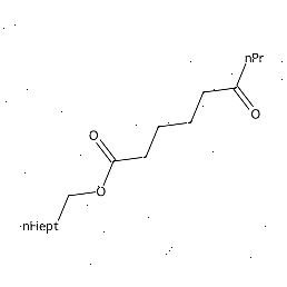 CCCCCCCCOC(=O)CCCCC(=O)CCC